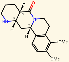 COc1ccc2c(c1OC)CCN1C(=O)[C@H]3CCCN[C@H]3C[C@@H]21